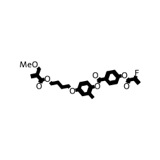 C=C(F)C(=O)Oc1ccc(C(=O)Oc2ccc(OCCCCOC(=O)C(=C)COC)cc2C)cc1